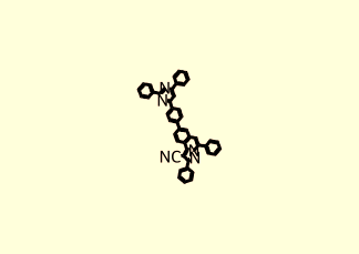 N#Cc1c(-c2ccccc2)nn2c(-c3ccccc3)cc3cc(-c4ccc(-c5cc(-c6ccccc6)nc(-c6ccccc6)n5)cc4)ccc3c12